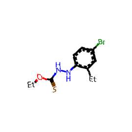 CCOC(=S)NNc1ccc(Br)cc1CC